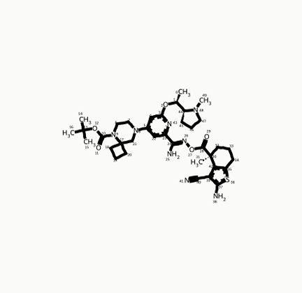 C[C@H](Oc1cc(N2CCN(C(=O)OC(C)(C)C)C3(CCC3)C2)cc(/C(N)=N/OC(=O)[C@@]2(C)CCCc3sc(N)c(C#N)c32)n1)[C@@H]1CCCN1C